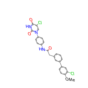 COc1ccc(-c2cccc(CC(=O)Nc3ccc(-n4cc(Cl)c(=O)[nH]c4=O)cc3)c2)cc1Cl